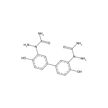 NC(=O)N(N)c1cc(-c2ccc(O)c(N(N)C(N)=O)c2)ccc1O